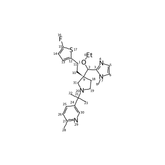 CCOC(c1nccn1C)[C@]1(CCc2ccc(F)s2)CCN(C(C)(C)c2ccc(C)nc2)C1